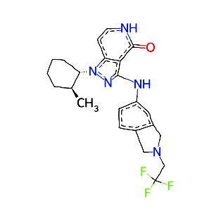 C[C@H]1CCCC[C@@H]1n1nc(Nc2ccc3c(c2)CN(CC(F)(F)F)C3)c2c(=O)[nH]ccc21